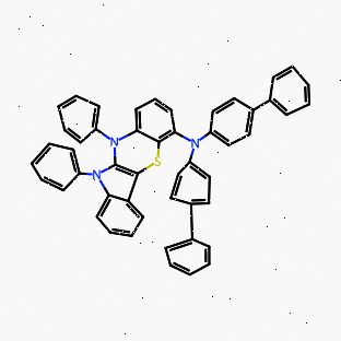 c1ccc(-c2ccc(N(c3ccc(-c4ccccc4)cc3)c3cccc4c3Sc3c(n(-c5ccccc5)c5ccccc35)N4c3ccccc3)cc2)cc1